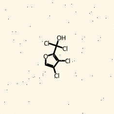 OC(Cl)(Cl)c1occ(Cl)c1Cl